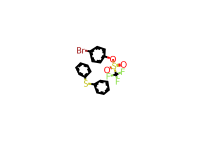 O=S(=O)(Oc1ccc(Br)cc1)C(F)(F)F.c1ccc(Sc2ccccc2)cc1